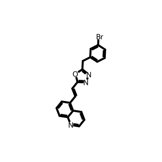 Brc1cccc(Cc2nnc(/C=C/c3cccc4ncccc34)o2)c1